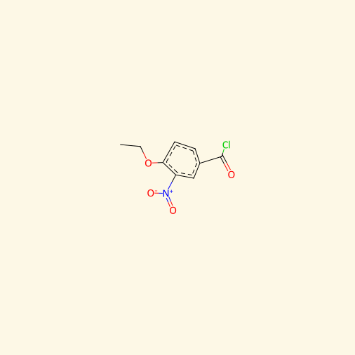 CCOc1ccc(C(=O)Cl)cc1[N+](=O)[O-]